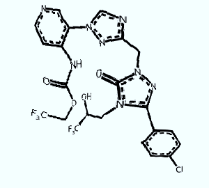 O=C(Nc1ccncc1-n1cnc(Cn2nc(-c3ccc(Cl)cc3)n(C[C@H](O)C(F)(F)F)c2=O)n1)OCC(F)(F)F